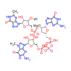 COC1[C@@H](OP(=O)(O)OC[C@H]2O[C@@H](n3cnc4c(=O)[nH]c(C)nc43)C(O)[C@H]2OC(C)C)[C@@H](COP(=O)(O)OP(=O)(O)OP(=O)(O)OC[C@H]2O[C@@H](n3c[n+](C)c4c(=O)[nH]c(N)nc43)C(O)[C@H]2O)O[C@H]1n1cnc2c(=O)[nH]c(N)nc21